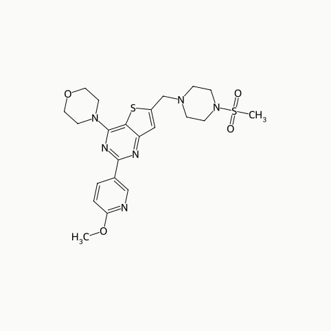 COc1ccc(-c2nc(N3CCOCC3)c3sc(CN4CCN(S(C)(=O)=O)CC4)cc3n2)cn1